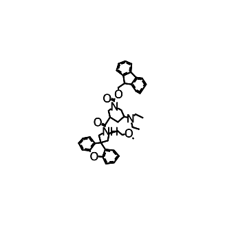 CCN(CC)C1CC(C(=O)NCC2(CCCCOC)c3ccccc3Oc3ccccc32)CN(C(=O)OCC2c3ccccc3-c3ccccc32)C1